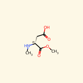 CN[C@H](CC(=O)O)C(=O)OC